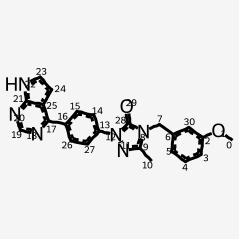 COc1cccc(Cn2c(C)nn(-c3ccc(-c4ncnc5[nH]ccc45)cc3)c2=O)c1